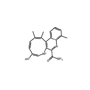 Cc1ccc(O)c[nH]c2c(C(N)=O)nc3c(C)cccc3c2c1C